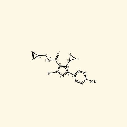 CC(C)n1nc(-c2ccc(C#N)cc2)c(C2CC2)c1C(=O)NCC1CC1